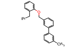 Cc1cccc(-c2cccc(COc3ccccc3CC(C)C)c2)c1